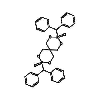 O=P1(C(c2ccccc2)c2ccccc2)OCC2(CO1)COP(=O)(C(c1ccccc1)c1ccccc1)OC2